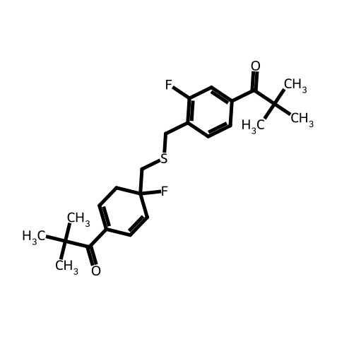 CC(C)(C)C(=O)C1=CCC(F)(CSCc2ccc(C(=O)C(C)(C)C)cc2F)C=C1